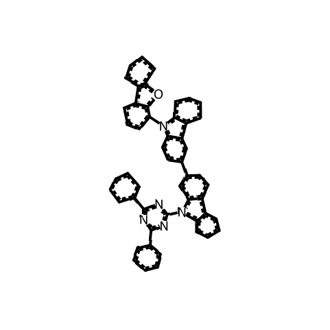 c1ccc(-c2nc(-c3ccccc3)nc(-n3c4ccccc4c4ccc(-c5ccc6c(c5)c5ccccc5n6-c5cccc6c5oc5ccccc56)cc43)n2)cc1